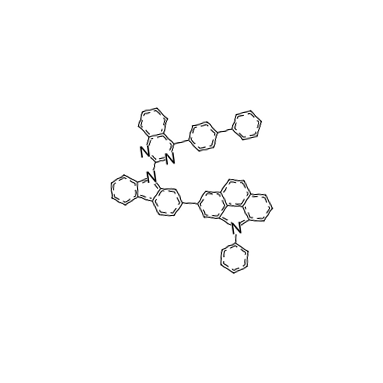 c1ccc(-c2ccc(-c3nc(-n4c5ccccc5c5ccc(-c6cc7ccc8cccc9c8c7c(c6)n9-c6ccccc6)cc54)nc4ccccc34)cc2)cc1